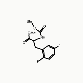 COC(=O)C(Cc1cc(F)ccc1F)NC(=O)OC(C)(C)C